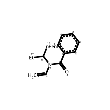 C=CN(C(=O)c1ccccc1)C(CC)CCCCC